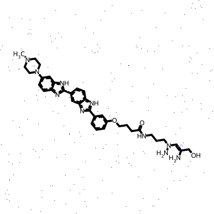 CN1CCN(c2ccc3nc(-c4ccc5[nH]c(-c6cccc(OCCCC(=O)NCCCN(N)/C=C(\N)CO)c6)nc5c4)[nH]c3c2)CC1